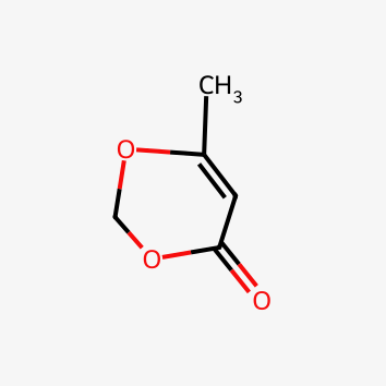 CC1=CC(=O)OCO1